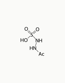 CC(=O)NNS(=O)(=O)O